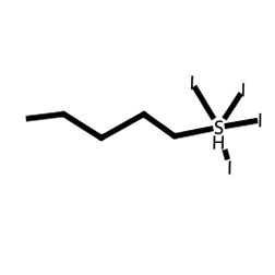 CCCCC[SH](I)(I)(I)I